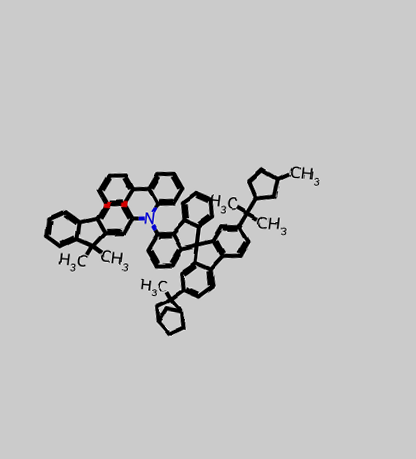 CC1CCC(C(C)(C)c2ccc3c(c2)C2(c4cc(C5(C)CC6CCC5C6)ccc4-3)c3ccccc3-c3c(N(c4ccc5c(c4)C(C)(C)c4ccccc4-5)c4ccccc4-c4ccccc4)cccc32)C1